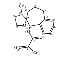 C=C(C)C(=O)OC1c2ccccc2CCCC12OCCC2C